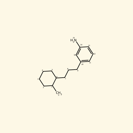 CC1CCCCC1CCCc1cccc(N)c1